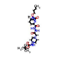 CCCCON1C(=O)N2C[C@@H]1CC[C@H]2C(=O)NNC(=O)CN1CCN(NC(=O)OC(C)(C)C)CC1